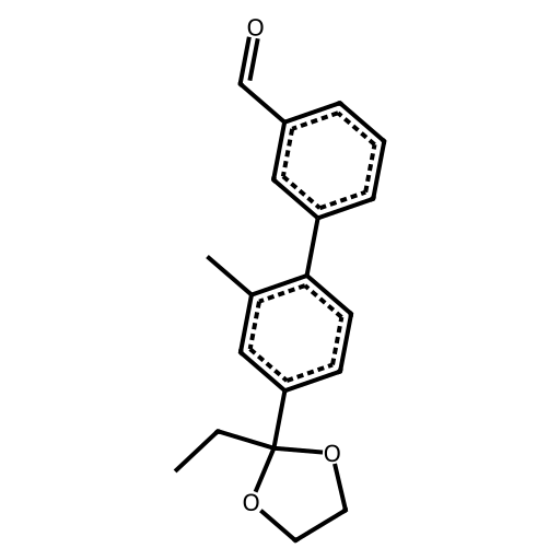 CCC1(c2ccc(-c3cccc(C=O)c3)c(C)c2)OCCO1